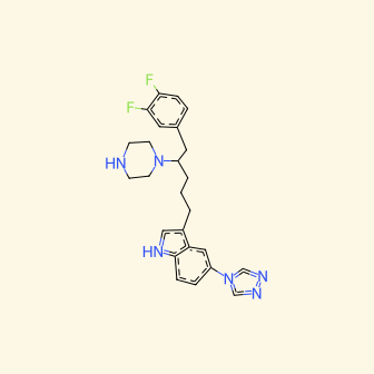 Fc1ccc(CC(CCCc2c[nH]c3ccc(-n4cnnc4)cc23)N2CCNCC2)cc1F